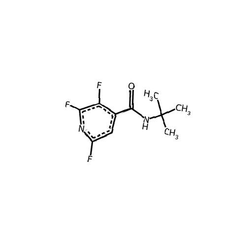 CC(C)(C)NC(=O)c1cc(F)nc(F)c1F